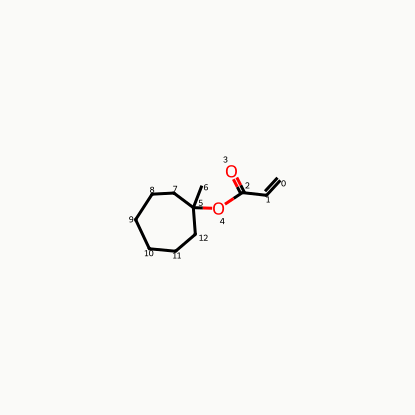 C=CC(=O)OC1(C)CCCCCC1